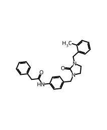 Cc1ccccc1CN1CCN(Cc2ccc(NC(=O)Cc3ccccc3)cc2)C1=O